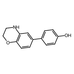 Oc1ccc(-c2ccc3c(c2)NCCO3)cc1